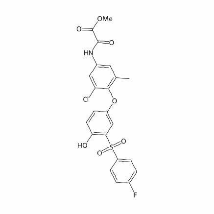 COC(=O)C(=O)Nc1cc(C)c(Oc2ccc(O)c(S(=O)(=O)c3ccc(F)cc3)c2)c(Cl)c1